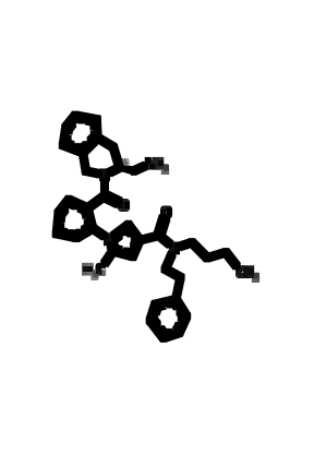 CCCCN(CCc1ccccc1)C(=O)c1cc(C)n(-c2ccccc2C(=O)N2Cc3ccccc3C[C@H]2CN)c1